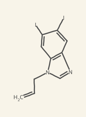 C=CCn1cnc2cc(I)c(I)cc21